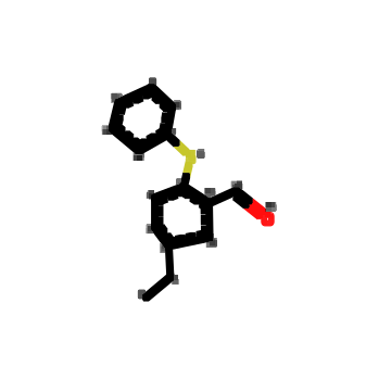 CCc1ccc(Sc2ccccc2)c(C=O)c1